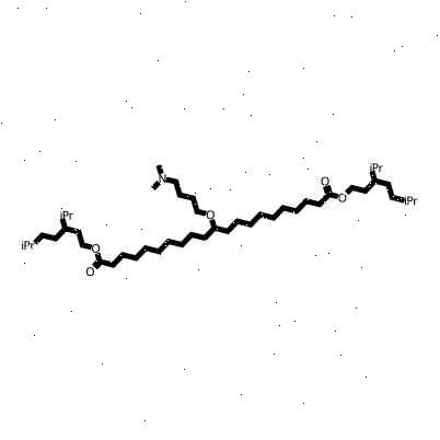 CC(C)CCC(CCOC(=O)CCCCCCCCCC(CCCCCCCCCC(=O)OCCC(CCC(C)C)C(C)C)OCCCCN(C)C)C(C)C